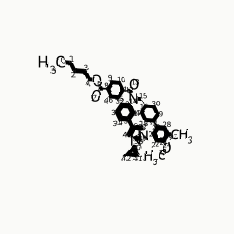 CCCCCOC(=O)[C@H]1CC[C@H](C(=O)N(C[C@H]2CC[C@H](c3ccc(OC)c(C)c3)CC2)c2cccc(-c3cnn(C4CC4)c3)c2)CC1